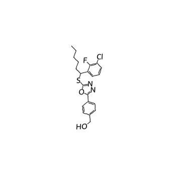 CCCCCC(Sc1nnc(-c2ccc(CO)cc2)o1)c1cccc(Cl)c1F